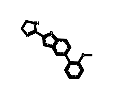 COc1ccccc1-c1ccc2oc(C3=NCCN3)cc2c1